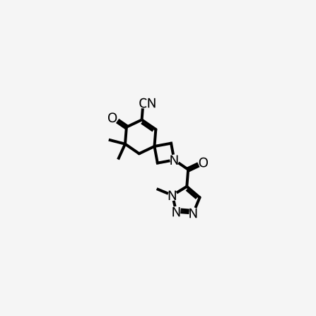 Cn1nncc1C(=O)N1CC2(C=C(C#N)C(=O)C(C)(C)C2)C1